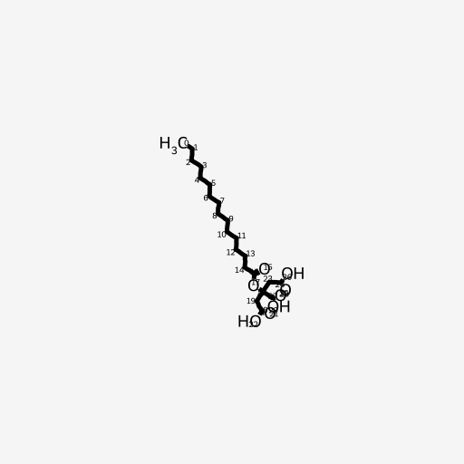 CCCCCCCCCCCCCCCC(=O)OC(CC(=O)O)(CC(=O)O)C(=O)O